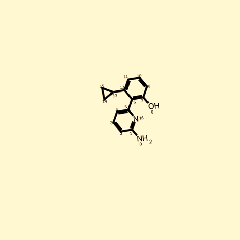 Nc1cccc(-c2c(O)cccc2C2CC2)n1